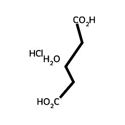 Cl.O.O=C(O)CCCC(=O)O